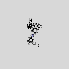 CCOc1ccc(/C=C/c2cccc(C(F)(F)F)c2)cc1-c1nn[nH]c1C#N